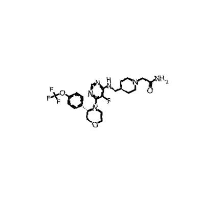 NC(=O)CN1CCC(CNc2ncnc(N3CCOC[C@@H]3c3ccc(OC(F)(F)F)cc3)c2F)CC1